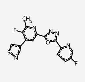 Cc1nc(-c2nnc(-c3ccc(F)cn3)o2)cc(-c2cnsc2)c1F